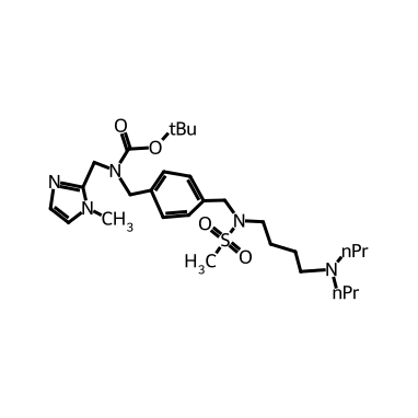 CCCN(CCC)CCCCN(Cc1ccc(CN(Cc2nccn2C)C(=O)OC(C)(C)C)cc1)S(C)(=O)=O